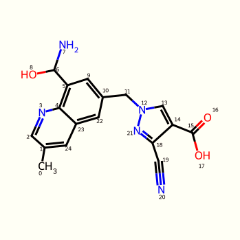 Cc1cnc2c(C(N)O)cc(Cn3cc(C(=O)O)c(C#N)n3)cc2c1